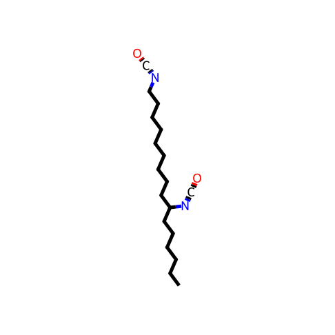 CCCCCCC(CCCCCCCCCN=C=O)N=C=O